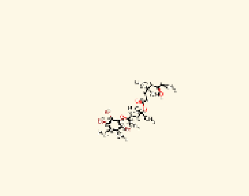 C=CC(=O)CC(C)(C)CCC(=O)OC(C)(C)CCC(=C)Oc1c(Br)c(C)c(C)c(Br)c1Br